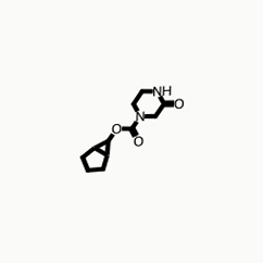 O=C1CN(C(=O)OC2C3CCCC32)CCN1